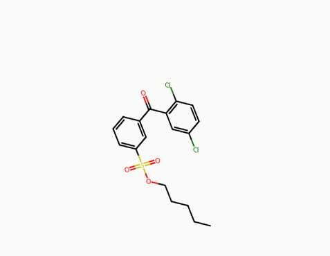 CCCCCOS(=O)(=O)c1cccc(C(=O)c2cc(Cl)ccc2Cl)c1